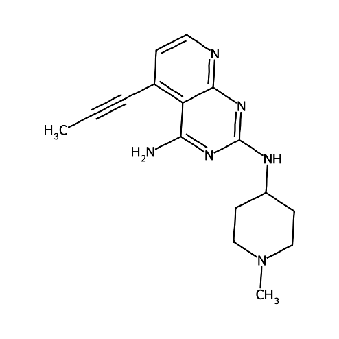 CC#Cc1ccnc2nc(NC3CCN(C)CC3)nc(N)c12